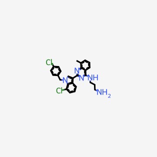 Cc1cccc2c(NCCCN)nc(-c3cn(Cc4ccc(Cl)cc4)c4c(Cl)cccc34)nc12